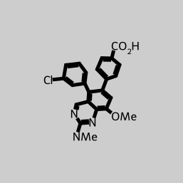 CNc1ncc2c(-c3cccc(Cl)c3)c(-c3ccc(C(=O)O)cc3)cc(OC)c2n1